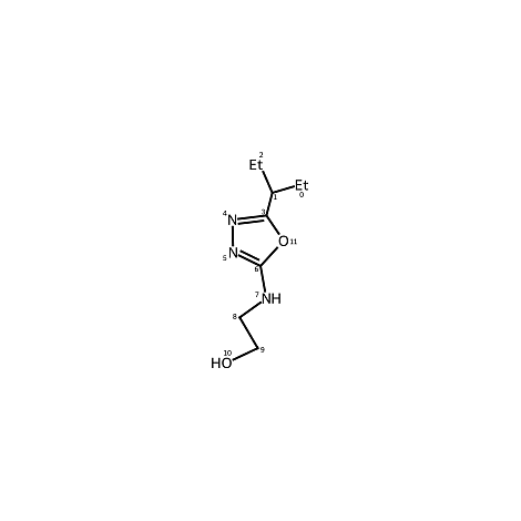 CCC(CC)c1nnc(NCCO)o1